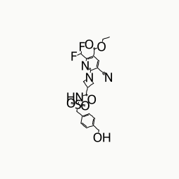 CCOC(=O)c1cc(C#N)c(N2CC(C(=O)NS(=O)(=O)Cc3ccc(CO)cc3)C2)nc1C(F)F